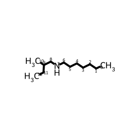 CCCCCCCNCC(C)CC